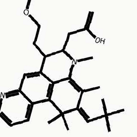 C=C(O)CC1C(CCOC)c2cc3ncccc3c3c2C(=C(C)/C(=C\C(C)(C)C)C3(C)C)N1C